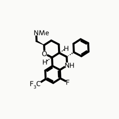 CNC[C@H]1CC[C@@H]2[C@H](O1)c1cc(C(F)(F)F)cc(F)c1N[C@H]2C1C=CC=CC1